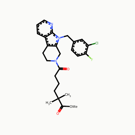 COC(=O)C(C)(C)CCCC(=O)N1CCc2c(n(Cc3ccc(F)c(Cl)c3)c3ncccc23)C1